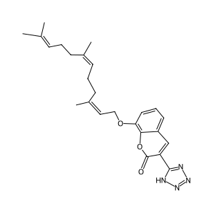 CC(C)=CCCC(C)=CCCC(C)=CCOc1cccc2cc(-c3nnn[nH]3)c(=O)oc12